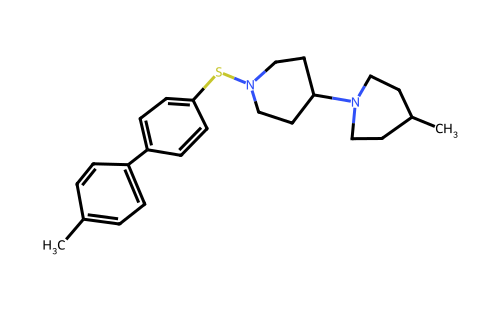 Cc1ccc(-c2ccc(SN3CCC(N4CCC(C)CC4)CC3)cc2)cc1